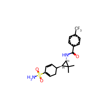 CC1(C)[C@@H](NC(=O)c2ccc(C(F)(F)F)cc2)[C@@H]1C1C=CC(S(N)(=O)=O)=CC1